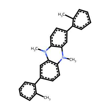 Cc1ccccc1-c1ccc2c(c1)N(C)c1ccc(-c3ccccc3C)cc1N2C